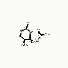 C=C1CNC(=O)N=C1N.O=[SH](=O)O